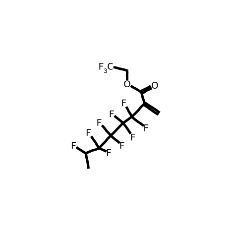 C=C(C(=O)OCC(F)(F)F)C(F)(F)C(F)(F)C(F)(F)C(F)(F)C(C)F